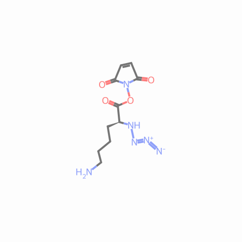 [N-]=[N+]=NN[C@@H](CCCCN)C(=O)ON1C(=O)C=CC1=O